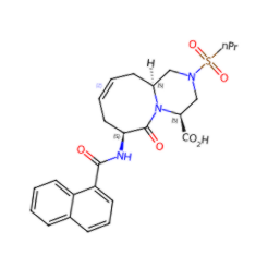 CCCS(=O)(=O)N1C[C@@H]2C/C=C\C[C@H](NC(=O)c3cccc4ccccc34)C(=O)N2[C@H](C(=O)O)C1